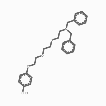 O=Cc1ccc(OCCOCCOCCN(Cc2ccccc2)Cc2ccccc2)cc1